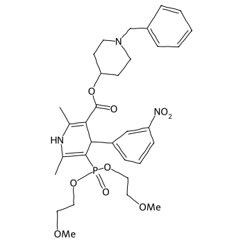 COCCOP(=O)(OCCOC)C1=C(C)NC(C)=C(C(=O)OC2CCN(Cc3ccccc3)CC2)C1c1cccc([N+](=O)[O-])c1